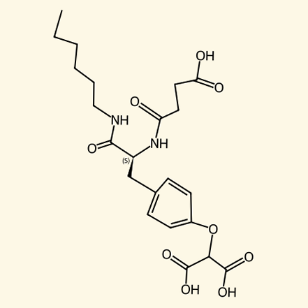 CCCCCCNC(=O)[C@H](Cc1ccc(OC(C(=O)O)C(=O)O)cc1)NC(=O)CCC(=O)O